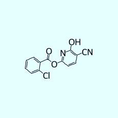 N#Cc1ccc(OC(=O)c2ccccc2Cl)nc1O